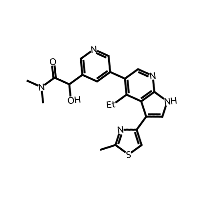 CCc1c(-c2cncc(C(O)C(=O)N(C)C)c2)cnc2[nH]cc(-c3csc(C)n3)c12